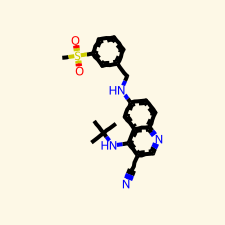 CC(C)(C)Nc1c(C#N)cnc2ccc(NCc3cccc(S(C)(=O)=O)c3)cc12